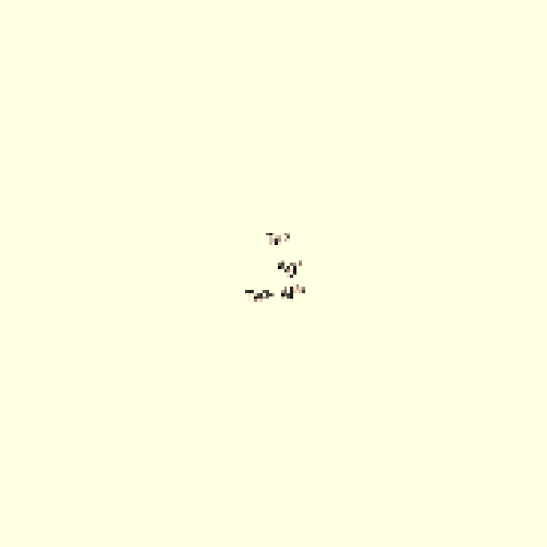 [Ag+].[Al+3].[Te-2].[Te-2]